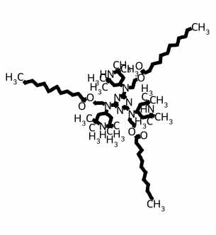 CCCCCCCCCCCC(=O)OCCN(c1nc(N(CCOC(=O)CCCCCCCCCCC)C2CC(C)(C)NC(C)(C)C2)nc(N(CCOC(=O)CCCCCCCCCCC)C2CC(C)(C)NC(C)(C)C2)n1)C1CC(C)(C)NC(C)(C)C1